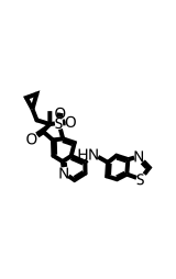 CC1(CC2CC2)C(=O)c2cc3nccc(Nc4ccc5scnc5c4)c3cc2S1(=O)=O